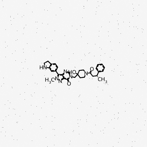 C[C@H](CC(=O)N1CCC(O)(Cn2cnc3c(-c4ccc5c(c4)NCC5)n(C)nc3c2=O)CC1)c1ccccc1